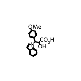 COc1ccc(C(C(O)C(=O)O)n2ccc3ccccc32)cc1